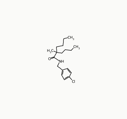 CCCCC(C)(CCCC)C(=O)NCc1ccc(Cl)cc1